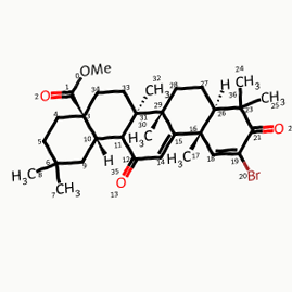 COC(=O)[C@]12CCC(C)(C)C[C@H]1C1C(=O)C=C3[C@@]4(C)C=C(Br)C(=O)C(C)(C)[C@@H]4CC[C@@]3(C)[C@]1(C)CC2